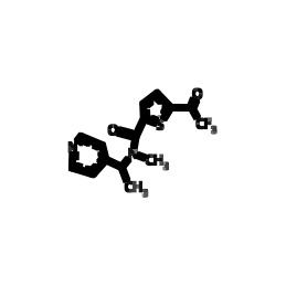 CC(c1ccncc1)N(C)C(=O)c1ccc(C(=O)C(F)(F)F)s1